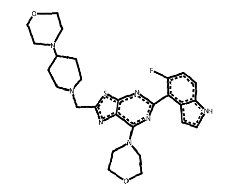 Fc1ccc2[nH]ccc2c1-c1nc(N2CCOCC2)c2nc(CN3CCC(N4CCOCC4)CC3)sc2n1